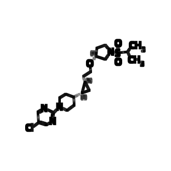 CC(C)S(=O)(=O)N1CC[C@@H](OCC[C@@H]2C[C@@H]2C2CCN(c3ncc(Cl)cn3)CC2)C1